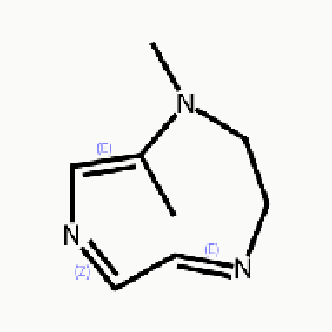 C\C1=C/N=C\C=N\CCN1C